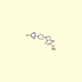 CCc1cnc(N2CCC(N3CC[C@H](NC(=O)OC(C)(C)C)C3=O)CC2)nc1